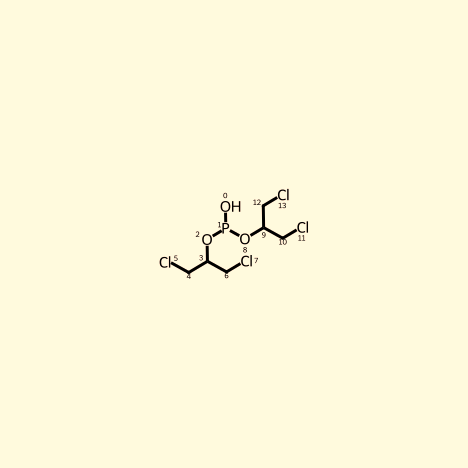 OP(OC(CCl)CCl)OC(CCl)CCl